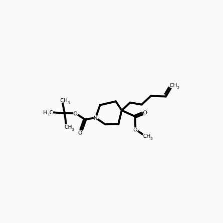 C=CCCCC1(C(=O)OC)CCN(C(=O)OC(C)(C)C)CC1